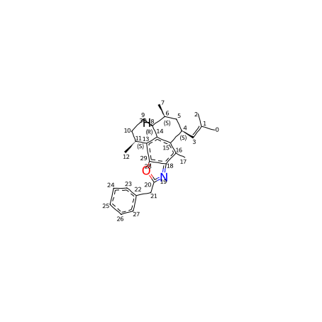 CC(C)=C[C@@H]1C[C@H](C)[C@H]2CC[C@H](C)c3c2c1c(C)c1nc(Cc2ccccc2)oc31